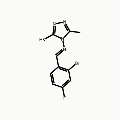 Cc1nnc(S)n1N=Cc1ccc(F)cc1Br